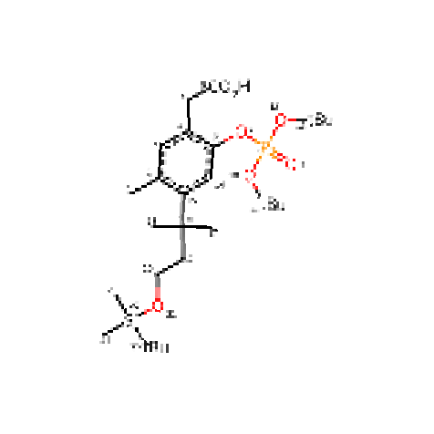 Cc1cc(CC(=O)O)c(OP(=O)(OC(C)(C)C)OC(C)(C)C)cc1C(C)(C)CCO[Si](C)(C)C(C)(C)C